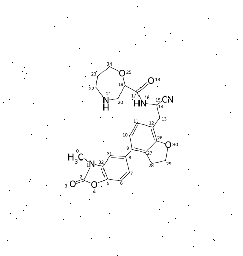 Cn1c(=O)oc2ccc(-c3ccc(CC(C#N)NC(=O)C4CNCCCO4)c4c3CCO4)cc21